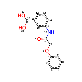 O=C(COc1ccccc1)Nc1cccc(B(O)O)c1